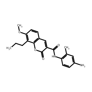 CCCc1c(OC)ccc2cc(C(=O)Nc3ccc(N)cc3C)c(=O)oc12